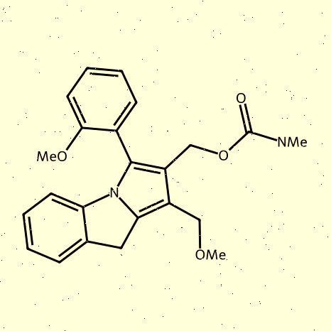 CNC(=O)OCc1c(COC)c2n(c1-c1ccccc1OC)-c1ccccc1C2